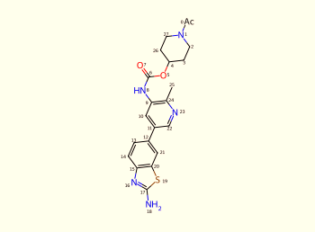 CC(=O)N1CCC(OC(=O)Nc2cc(-c3ccc4nc(N)sc4c3)cnc2C)CC1